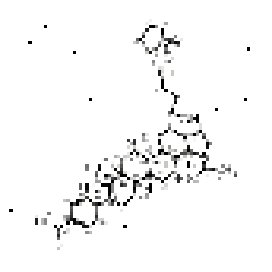 CC(C)[C@@H]1CC[C@]2(NCCCNC[C@@H]3CCCS3(=O)=O)CC[C@]3(C)[C@H](CC[C@@H]4[C@@]5(C)CC[C@@H](c6ccc(C(=O)O)cc6)C(C)(C)[C@@H]5CC[C@]43C)[C@@H]12